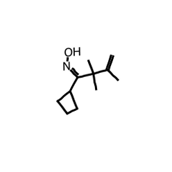 C=C(C)C(C)(C)C(=NO)C1CCC1